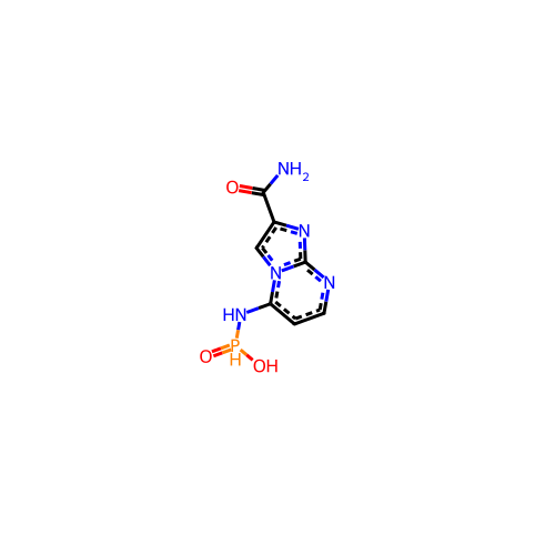 NC(=O)c1cn2c(N[PH](=O)O)ccnc2n1